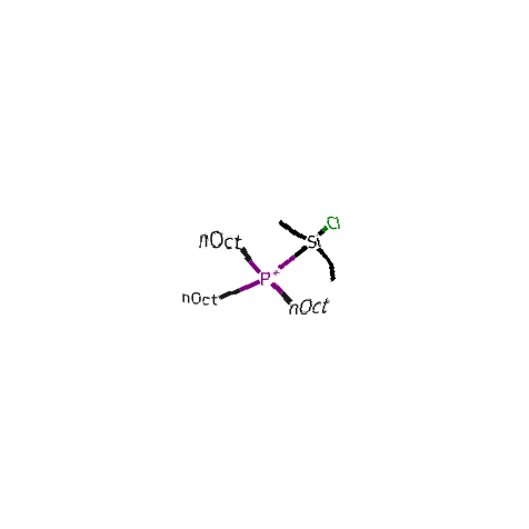 CCCCCCCC[P+](CCCCCCCC)(CCCCCCCC)[Si](C)(C)Cl